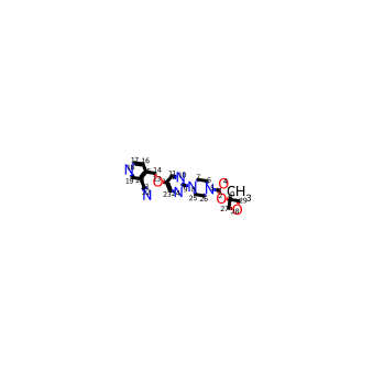 CC1(OC(=O)N2CCN(c3ncc(OCc4ccncc4C#N)cn3)CC2)COC1